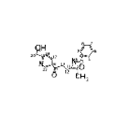 Cc1oc(-c2ccccc2)nc1CCC(=O)c1ccc(CO)nc1